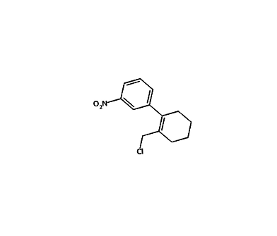 O=[N+]([O-])c1cccc(C2=C(CCl)CCCC2)c1